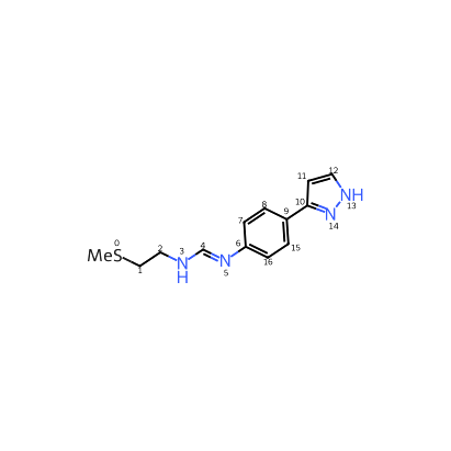 CSCCN/C=N/c1ccc(-c2cc[nH]n2)cc1